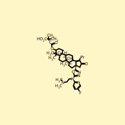 CC(C)C1=C2C3CC[C@@H]4[C@@]5(C)CCC(OC(=O)CC(C)(C)C(=O)O)C(C)(C)C5CC[C@@]4(C)[C@]3(C)CC[C@@]2(c2nnc(N(CCN(C)C)c3ccc(F)cn3)o2)CC1=O